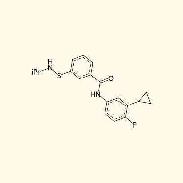 CC(C)NSc1cccc(C(=O)Nc2ccc(F)c(C3CC3)c2)c1